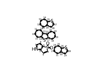 O=S1(=O)C=Cc2[nH]ccc21.c1ccc2c(c1)sc1ccccc12.c1ccc2sccc2c1.c1ccc2sccc2c1